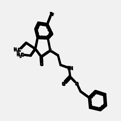 CCC1(CC)C(=O)N(CCNC(=O)OCc2ccccc2)c2cc(Br)ccc21